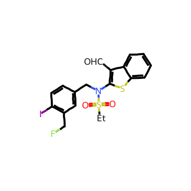 CCS(=O)(=O)N(Cc1ccc(I)c(CF)c1)c1sc2ccccc2c1C=O